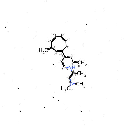 C=C/C=C(\C=C/N/C(C)=C/N(C)C)C1=C/C(=C)/C=C\C=C/C\1